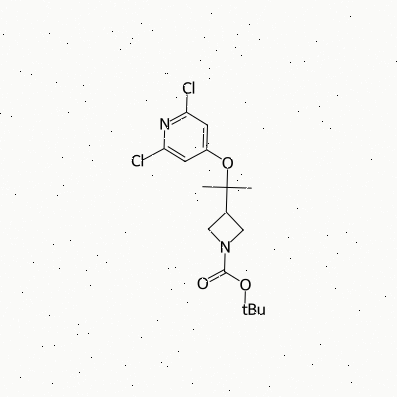 CC(C)(C)OC(=O)N1CC(C(C)(C)Oc2cc(Cl)nc(Cl)c2)C1